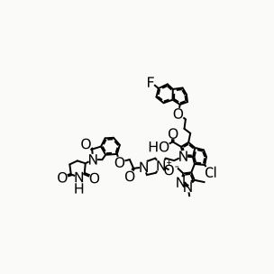 Cc1nn(C)c(C)c1-c1c(Cl)ccc2c(CCCOc3cccc4cc(F)ccc34)c(C(=O)O)n(CC[N+]3([O-])CCN(C(=O)COc4cccc5c4CN(C4CCC(=O)NC4=O)C5=O)CC3)c12